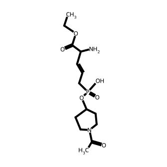 CCOC(=O)C(N)C=CCP(=O)(O)OC1CCN(C(C)=O)CC1